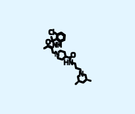 CC1=C(CN2CCC(C(=O)NCCCN3C[C@H](C)C[C@H](C)C3)CC2)NC(C)(c2c(C)cccc2Cl)O1